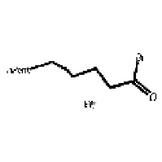 CCCCCCCCCC(=O)Br.F